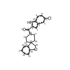 O=C(c1cc2cc(Cl)ccc2[nH]1)N1CCC2(CC1)COc1ccccc12